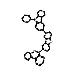 c1ccc(-n2c3ccccc3c3cc(-c4ccc5oc6ccc(-c7nc8ccccc8c8cccnc78)cc6c5c4)ccc32)cc1